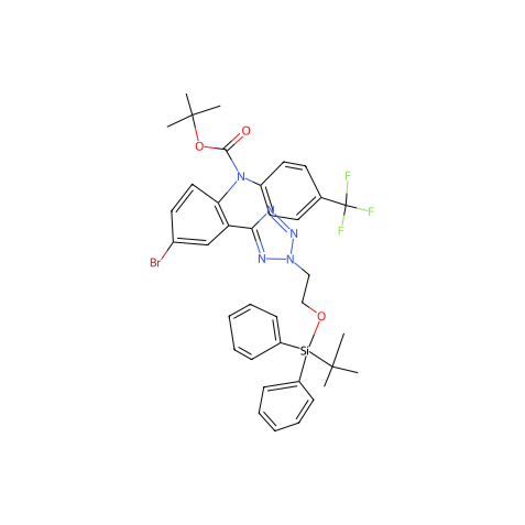 CC(C)(C)OC(=O)N(c1ccc(C(F)(F)F)cc1)c1ccc(Br)cc1-c1nnn(CCO[Si](c2ccccc2)(c2ccccc2)C(C)(C)C)n1